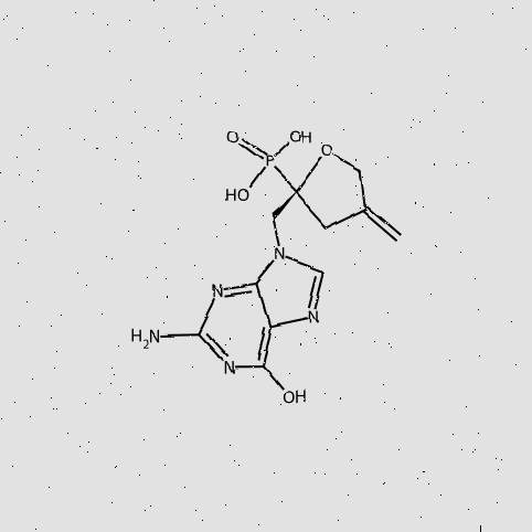 C=C1CO[C@@](Cn2cnc3c(O)nc(N)nc32)(P(=O)(O)O)C1